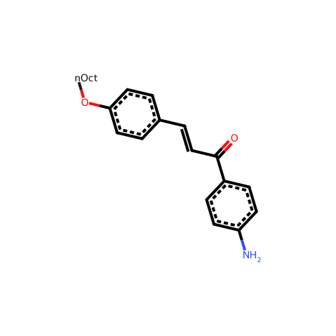 CCCCCCCCOc1ccc(C=CC(=O)c2ccc(N)cc2)cc1